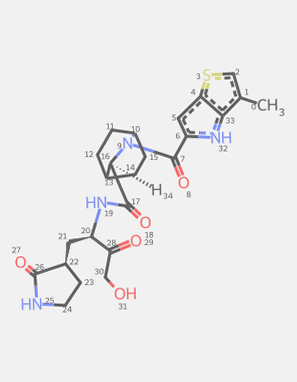 Cc1csc2cc(C(=O)N3C4CCC(CC4)[C@@H]3C(=O)N[C@H](C[C@H]3CCNC3=O)C(=O)CO)[nH]c12